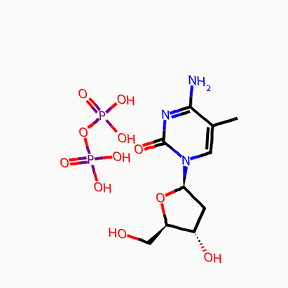 Cc1cn([C@H]2C[C@H](O)[C@@H](CO)O2)c(=O)nc1N.O=P(O)(O)OP(=O)(O)O